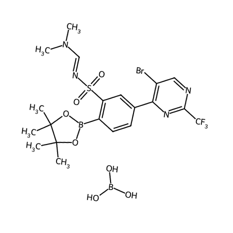 CN(C)C=NS(=O)(=O)c1cc(-c2nc(C(F)(F)F)ncc2Br)ccc1B1OC(C)(C)C(C)(C)O1.OB(O)O